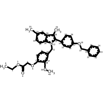 CCOC(=O)COc1ccc(Cn2c(-c3ccc(OCc4ccccc4)cc3)c(C)c3cc(C)ccc32)cc1OC